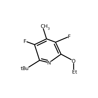 CCOc1nc(C(C)(C)C)c(F)c(C)c1F